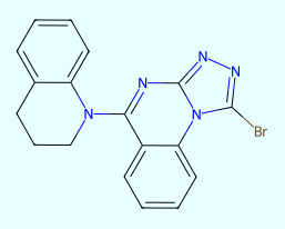 Brc1nnc2nc(N3CCCc4ccccc43)c3ccccc3n12